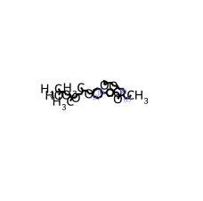 C/C=C\C(/C=C\CCOCC1CO1)C(=O)OC1CCC(/C2=C/C=C=C(OCC(C)CCOC(C)COCC(C)O)/C=C\C2)CC1